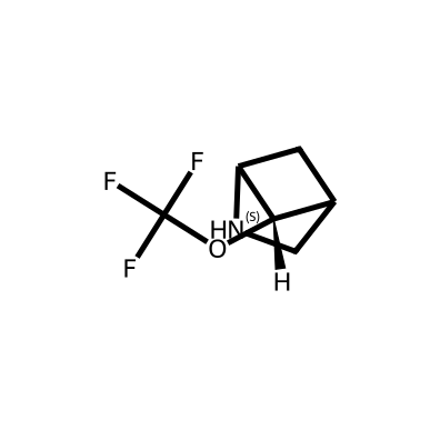 FC(F)(F)O[C@H]1C2CNC1C2